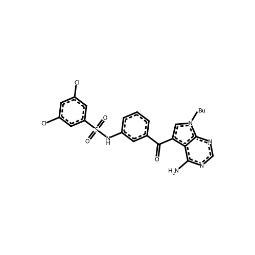 CCC(C)n1cc(C(=O)c2cccc(NS(=O)(=O)c3cc(Cl)cc(Cl)c3)c2)c2c(N)ncnc21